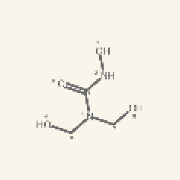 O=C(NO)N(CO)CO